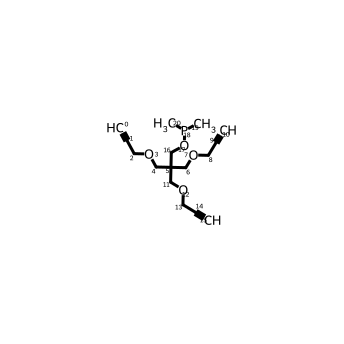 C#CCOCC(COCC#C)(COCC#C)COP(C)C